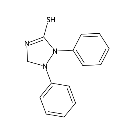 SC1=NCN(c2ccccc2)N1c1ccccc1